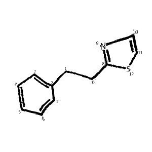 [CH](Cc1ccccc1)c1nccs1